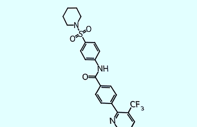 O=C(Nc1ccc(S(=O)(=O)N2CCCCC2)cc1)c1ccc(-c2ncccc2C(F)(F)F)cc1